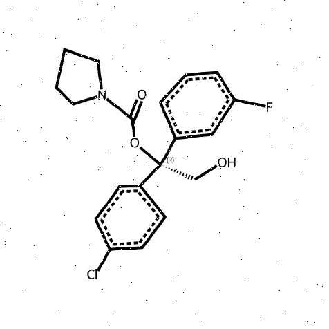 O=C(O[C@](CO)(c1ccc(Cl)cc1)c1cccc(F)c1)N1CCCC1